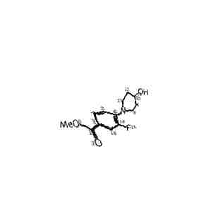 COC(=O)c1ccc(N2CCC(O)CC2)c(F)c1